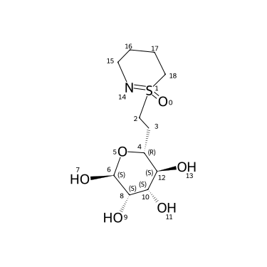 O=S1(CC[C@H]2O[C@H](O)[C@@H](O)[C@@H](O)[C@@H]2O)=NCCCC1